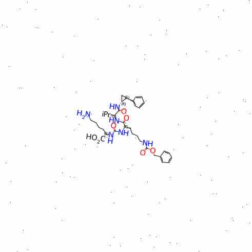 CC(C)[C@H](NC(=O)[C@@H](CCCCNC(=O)OCc1ccccc1)NC(=O)N[C@@H](CCCCN)C(=O)O)C(=O)N[C@@H]1C[C@H]1c1ccccc1